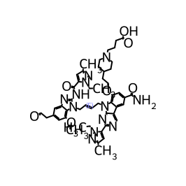 CCn1nc(C)cc1C(=O)Nc1nc2cc(CC=O)cc(OC)c2n1C/C=C/Cn1c2nc(-c3cc(C)nn3CC)ncc2c2cc(C(N)=O)cc(OCCC3CCN(CCCC(=O)O)CC3)c21